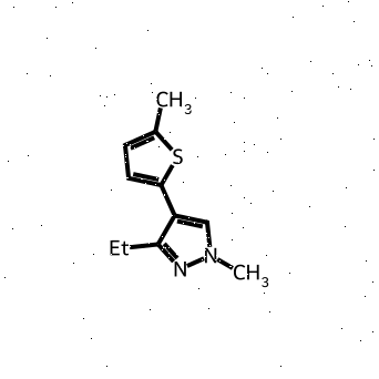 CCc1nn(C)cc1-c1ccc(C)s1